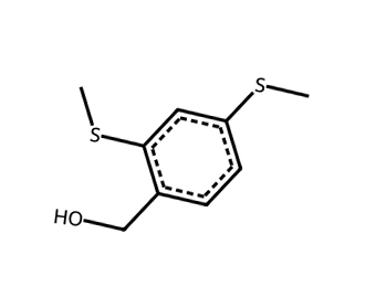 CSc1ccc(CO)c(SC)c1